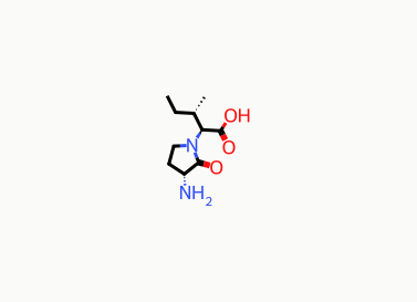 CC[C@H](C)[C@@H](C(=O)O)N1CC[C@@H](N)C1=O